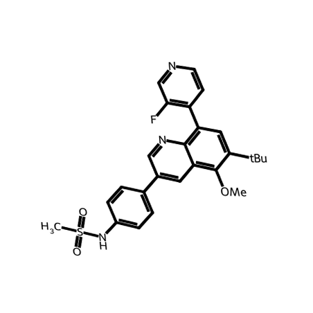 COc1c(C(C)(C)C)cc(-c2ccncc2F)c2ncc(-c3ccc(NS(C)(=O)=O)cc3)cc12